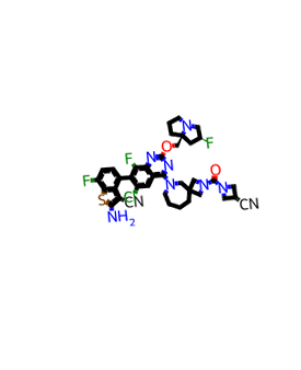 N#Cc1c(N)sc2c(F)ccc(-c3c(Cl)cc4c(N5CCCCC6(CN(C(=O)N7CC(C#N)C7)C6)C5)nc(OC[C@@]56CCCN5C[C@H](F)C6)nc4c3F)c12